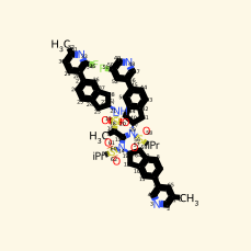 Cc1cncc(-c2ccc3c(c2)C[C@@H](N(C(C(C)S(=O)(=O)N[C@H]2Cc4ccc(-c5ccc(C)nc5F)cc4C2)N([C@H]2Cc4ccc(-c5cncc(F)c5)cc4C2)S(=O)(=O)C(C)C)S(=O)(=O)C(C)C)C3)c1